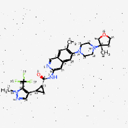 Cc1cc2cnc(NC(=O)[C@@H]3C[C@H]3c3cnn(C)c3C(F)(F)F)cc2cc1N1CCN([C@@]2(C)CCOC2)CC1